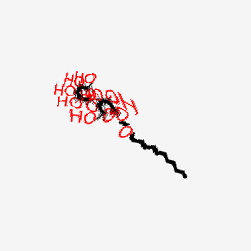 CCCCCCCCCCCCOCCO[C@H]1O[C@H](CO)[C@@H](O[C@@H]2O[C@H](CO)[C@H](O)[C@H](O)[C@H]2O)[C@H](O)[C@H]1O